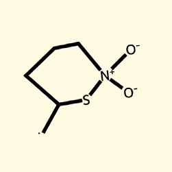 [CH2]C1CCC[N+]([O-])([O-])S1